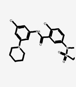 O=C(Nc1cc(Cl)cc(N2CCCCC2)c1)c1cc(N2CCCS2(=O)=O)ccc1Cl